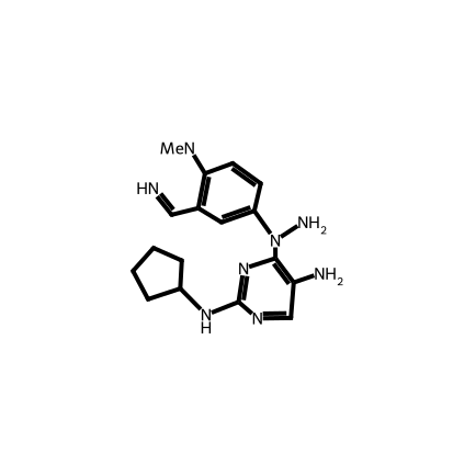 CNc1ccc(N(N)c2nc(NC3CCCC3)ncc2N)cc1C=N